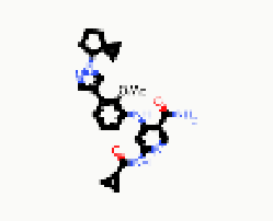 COc1c(Nc2cc(NC(=O)C3CC3)ncc2C(N)=O)cccc1-c1cnn(C2CCCC23CC3)c1